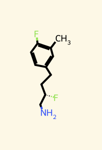 Cc1cc(CC[C@H](F)CN)ccc1F